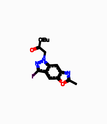 Cc1nc2cc3c(cc2o1)c(I)nn3CC(=O)OCC(C)C